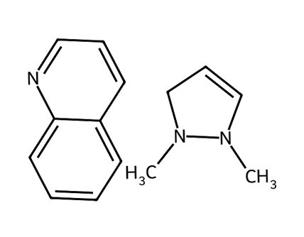 CN1C=CCN1C.c1ccc2ncccc2c1